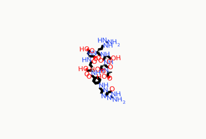 C[C@H](NC(=O)[C@H](CC(=O)O)NC(=O)[C@H](CC(=O)O)NC(=O)[C@H](CCCNC(=N)N)NC(=O)[C@H](CC(=O)O)NC(=O)CC[C@H](NC(=O)c1ccc(NCc2cnc3nc(N)[nH]c(=O)c3n2)cc1)C(=O)O)C(=O)O